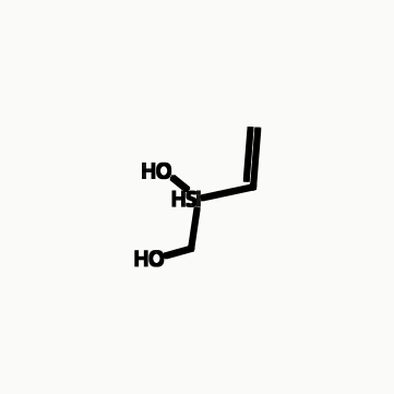 C=C[SiH](O)CO